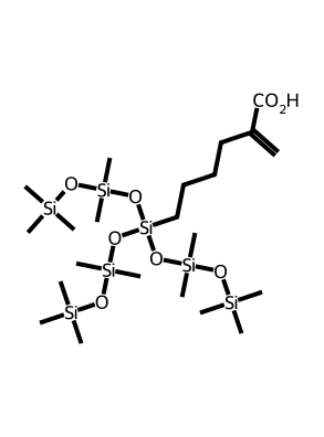 C=C(CCCC[Si](O[Si](C)(C)O[Si](C)(C)C)(O[Si](C)(C)O[Si](C)(C)C)O[Si](C)(C)O[Si](C)(C)C)C(=O)O